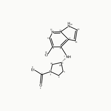 CCC(=O)N1CC[C@@H](Nc2c(Cl)cnc3[nH]ccc23)C1